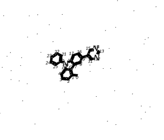 Cc1cccc2c1c1cc(-c3cncnc3)ccc1n2-c1ccccc1